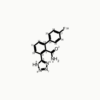 NC(=O)c1c(-c2nnn[nH]2)[c]ccc1-c1ccc(F)cc1